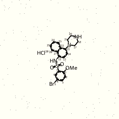 COc1ccc(Br)cc1S(=O)(=O)Nc1ccc(N2CCNCC2)c2ccccc12.Cl